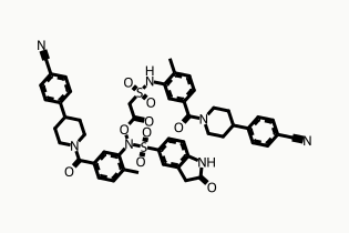 Cc1ccc(C(=O)N2CCC(c3ccc(C#N)cc3)CC2)cc1NS(=O)(=O)CC(=O)ON(c1cc(C(=O)N2CCC(c3ccc(C#N)cc3)CC2)ccc1C)S(=O)(=O)c1ccc2c(c1)CC(=O)N2